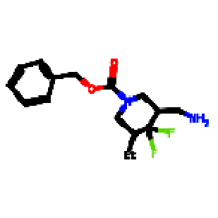 CCC1CN(C(=O)OCc2ccccc2)CC(CN)C1(F)F